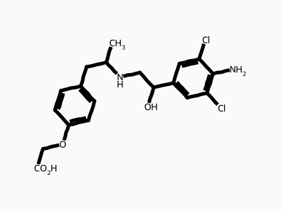 CC(Cc1ccc(OCC(=O)O)cc1)NCC(O)c1cc(Cl)c(N)c(Cl)c1